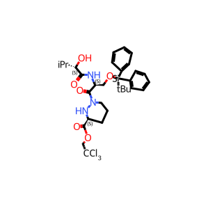 CC(C)[C@H](O)C(=O)N[C@@H](CO[Si](c1ccccc1)(c1ccccc1)C(C)(C)C)C(=O)N1CCC[C@@H](C(=O)OCC(Cl)(Cl)Cl)N1